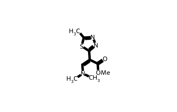 COC(=O)C(=CN(C)C)c1nnc(C)s1